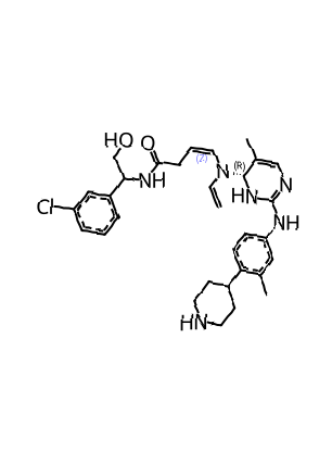 C=CN(/C=C\CC(=O)NC(CO)c1cccc(Cl)c1)[C@H]1NC(Nc2ccc(C3CCNCC3)c(C)c2)=NC=C1C